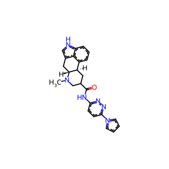 CN1CC(C(=O)Nc2ccc(-n3cccc3)nn2)C[C@@H]2c3cccc4[nH]cc(c34)C[C@H]21